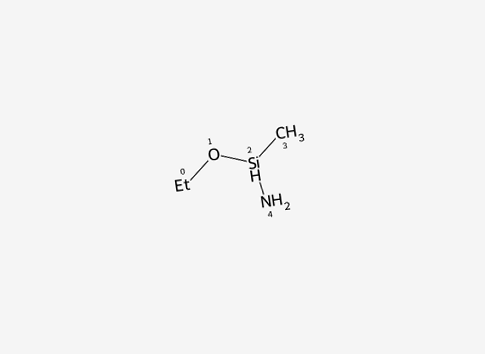 CCO[SiH](C)N